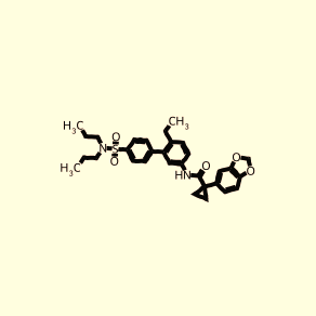 CCCN(CCC)S(=O)(=O)c1ccc(-c2cc(NC(=O)C3(c4ccc5c(c4)OCO5)CC3)ccc2CC)cc1